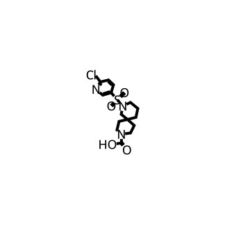 O=C(O)N1CCC2(CCCN(S(=O)(=O)c3ccc(Cl)nc3)C2)CC1